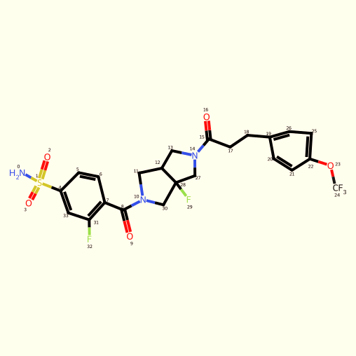 NS(=O)(=O)c1ccc(C(=O)N2CC3CN(C(=O)CCc4ccc(OC(F)(F)F)cc4)CC3(F)C2)c(F)c1